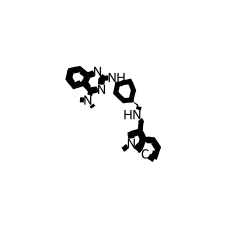 CN(C)c1nc(N[C@H]2CC[C@@H](CNCc3cn(C)c4ccccc34)CC2)nc2ccccc12